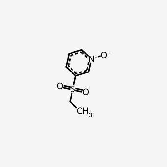 CCS(=O)(=O)c1ccc[n+]([O-])c1